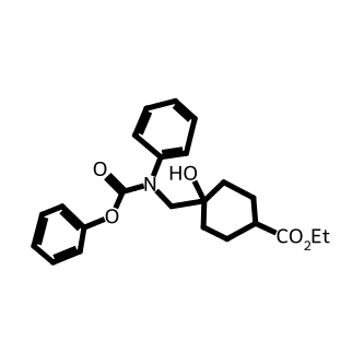 CCOC(=O)C1CCC(O)(CN(C(=O)Oc2ccccc2)c2ccccc2)CC1